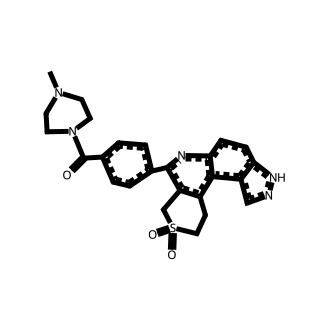 CN1CCN(C(=O)c2ccc(-c3nc4ccc5[nH]ncc5c4c4c3CS(=O)(=O)CC4)cc2)CC1